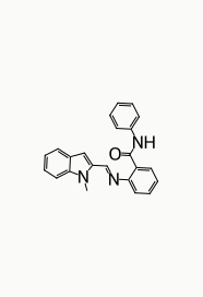 Cn1c(/C=N/c2ccccc2C(=O)Nc2ccccc2)cc2ccccc21